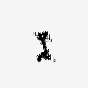 CN[C@@H](C)C(=O)N[C@H](C(=O)N1CCC[C@H]1C1=NC(C(=O)c2ccc(F)cc2)CS1)C1CCN(C(=O)CCOCCOCCC(=O)NCCn2nc(C#N)c3c2CN(C)C(=O)c2ccc(F)cc2[C@@H](C)Oc2cc-3cnc2N)CC1